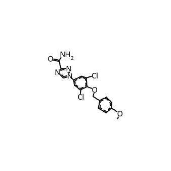 COc1ccc(COc2c(Cl)cc(-n3cnc(C(N)=O)n3)cc2Cl)cc1